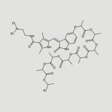 CCN(CC)CCNC(=O)c1c(C)[nH]c(/C=C2\C(=O)Nc3ccc(OC(C)C(=O)OC(C)C(=O)OC(C)C(=O)OC(C)C(=O)OC(C)C(=O)OC(C)C(=O)OC(C)C(=O)OC(C)C(C)=O)cc32)c1C